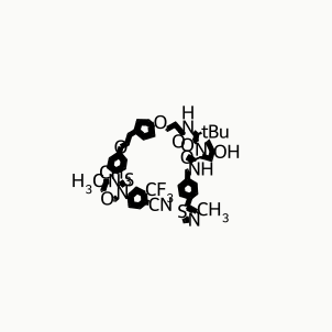 Cc1ncsc1-c1ccc(CNC(=O)[C@@H]2C[C@@H](O)CN2C(=O)[C@@H](NC(=O)CCOc2ccc(CCOc3ccc(N4C(=S)N(c5ccc(C#N)c(C(F)(F)F)c5)COCC4(C)C)cc3)cc2)C(C)(C)C)cc1